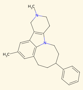 Cc1cc2c3c(c1)c1c(n3CCC(c3ccccc3)CC2)CCN(C)C1